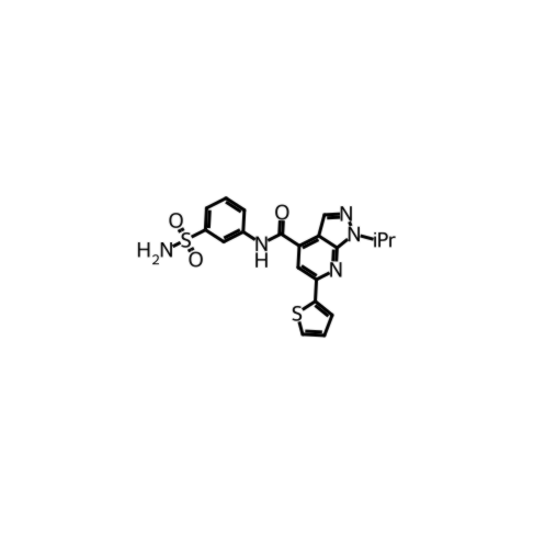 CC(C)n1ncc2c(C(=O)Nc3cccc(S(N)(=O)=O)c3)cc(-c3cccs3)nc21